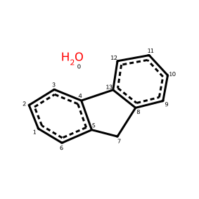 O.c1ccc2c(c1)Cc1ccccc1-2